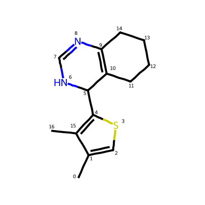 Cc1csc(C2NC=NC3=C2CCCC3)c1C